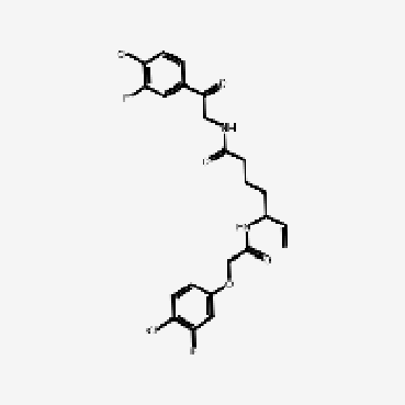 C=CC(CCCC(=O)NCC(=O)c1ccc(Cl)c(F)c1)NC(=O)COc1ccc(Cl)c(F)c1